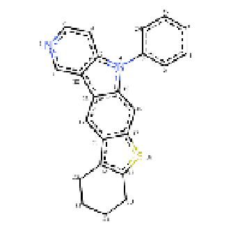 c1ccc(-n2c3ccncc3c3cc4c5c(sc4cc32)CCCC5)cc1